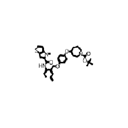 C=C/C=C(COc1ccc(OC2CCCN(C(=O)OC(C)(C)C)CC2)cc1)\C(=C/C)NC(=O)c1cc2sccc2n1C